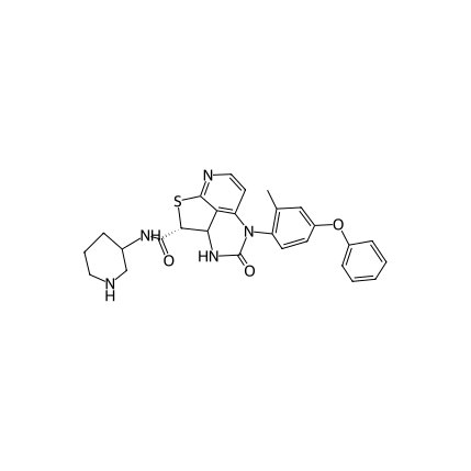 Cc1cc(Oc2ccccc2)ccc1N1C(=O)NC2c3c1ccnc3S[C@H]2C(=O)NC1CCCNC1